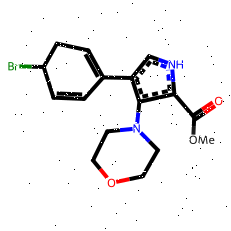 COC(=O)c1[nH]cc(C2=CCC(Br)C=C2)c1N1CCOCC1